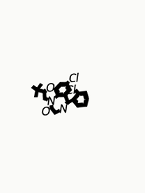 CC(C)(C)C(=O)CN1C(=O)CN=C(c2ccccc2Cl)c2cc(Cl)ccc21